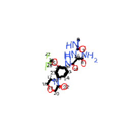 CNC(=O)N[C@H](C(N)=O)C(=O)Nc1ccc(N2CCOCC2=O)cc1OC(F)F